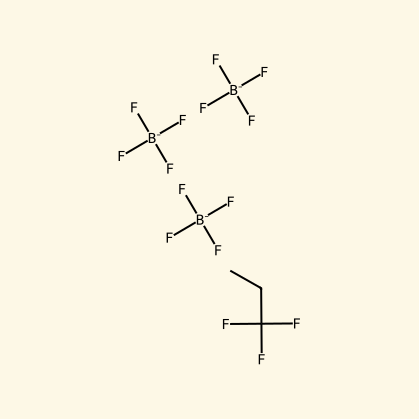 CCC(F)(F)F.F[B-](F)(F)F.F[B-](F)(F)F.F[B-](F)(F)F